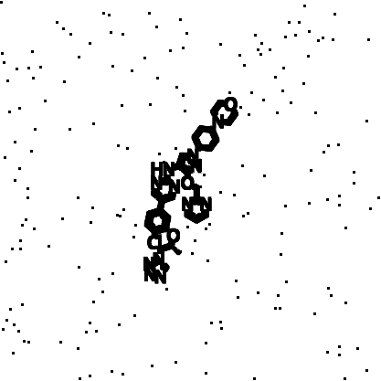 C[C@@H](Cn1cnnn1)Oc1cc(-c2cnc(Nc3cn(C4CCC(N5CCOCC5)CC4)nc3OCc3ncccn3)nc2)ccc1Cl